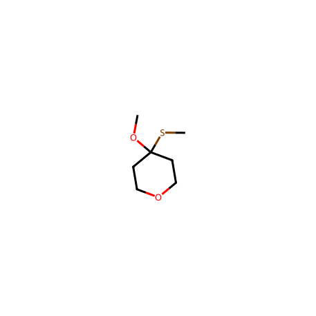 COC1(SC)CCOCC1